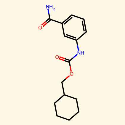 NC(=O)c1cccc(NC(=O)OCC2CCCCC2)c1